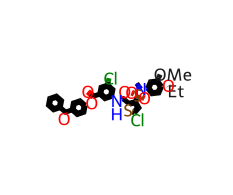 CCOc1ccc(N(C)S(=O)(=O)c2cc(Cl)sc2C(=O)Nc2cc(Cl)cc(C(=O)Oc3ccc(C(=O)c4ccccc4)cc3)c2)cc1OC